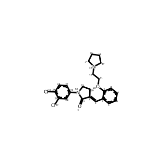 O=C1C(=Cc2ccccc2OCCN2CCCC2)CCN1c1ccc(Cl)c(Cl)c1